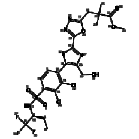 CC[C@H](NS(=O)(=O)c1ccc(-c2sc(-c3nnc(CC(C)(C)C(=O)OC)o3)nc2CO)c(Cl)c1Cl)C(F)(F)F